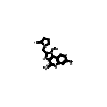 CCCCn1c(CN2CCCC2=O)nc2c(N)nc3cc(Br)ccc3c21